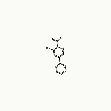 O=[N+]([O-])c1ncc(-c2ccccc2)cc1O